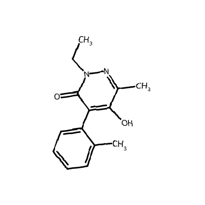 CCn1nc(C)c(O)c(-c2ccccc2C)c1=O